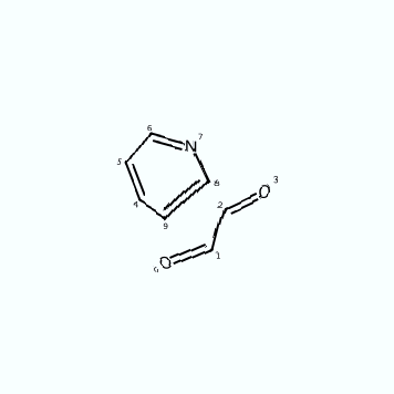 O=CC=O.c1ccncc1